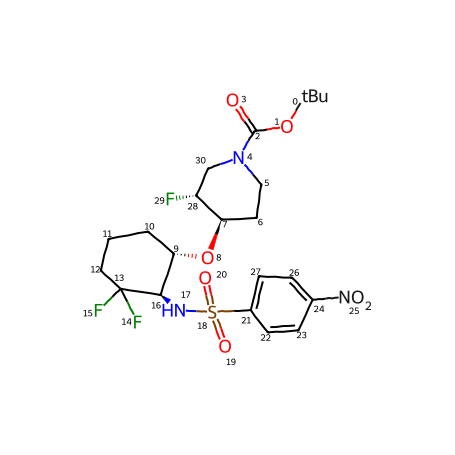 CC(C)(C)OC(=O)N1CC[C@@H](O[C@H]2CCCC(F)(F)[C@@H]2NS(=O)(=O)c2ccc([N+](=O)[O-])cc2)[C@H](F)C1